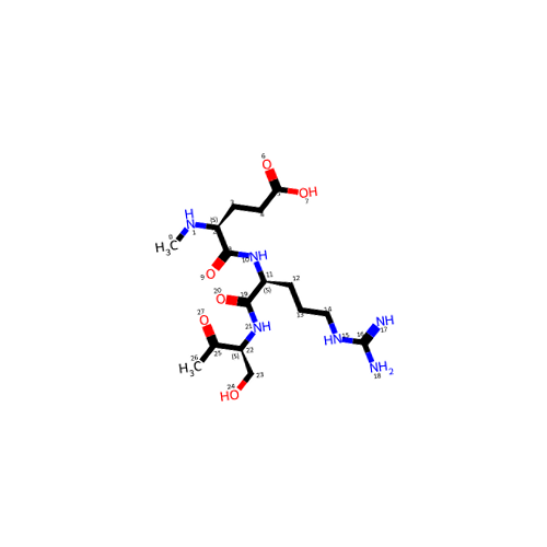 CN[C@@H](CCC(=O)O)C(=O)N[C@@H](CCCNC(=N)N)C(=O)N[C@@H](CO)C(C)=O